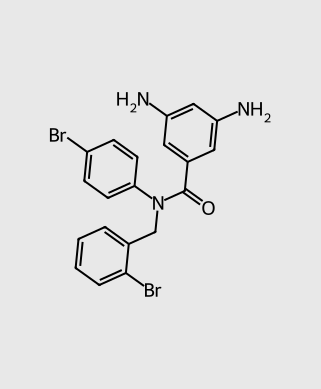 Nc1cc(N)cc(C(=O)N(Cc2ccccc2Br)c2ccc(Br)cc2)c1